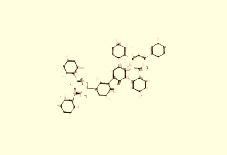 c1ccc(-c2cc(-c3ccccc3)nc(-c3ccccc3-c3cccc4c3sc3ccc(-c5nc(-c6ccccc6)nc(-c6ccccc6)n5)cc34)n2)cc1